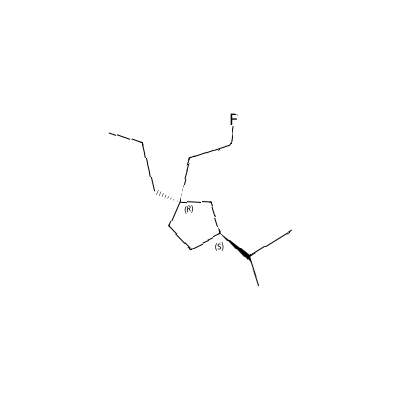 CCC[C@@]1(CCF)CC[C@H](C(C)C)C1